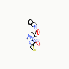 C=NN(/C(C)=C(\C)C(=O)N1CCc2ccccc2C1)c1nc2ccsc2c(=O)[nH]1